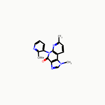 COc1ncccc1-n1c(=O)c2ncn(C)c2c2ccc(C(F)(F)F)nc21